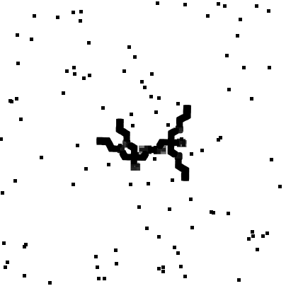 C=CCOCC(CC)(CNNCC(CC)(COCC=C)COCC=C)COCC=C